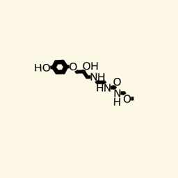 COCNC(=O)NCCNCC(O)COc1ccc(O)cc1